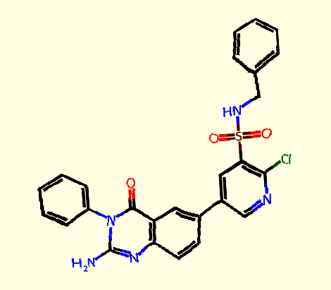 Nc1nc2ccc(-c3cnc(Cl)c(S(=O)(=O)NCc4ccccc4)c3)cc2c(=O)n1-c1ccccc1